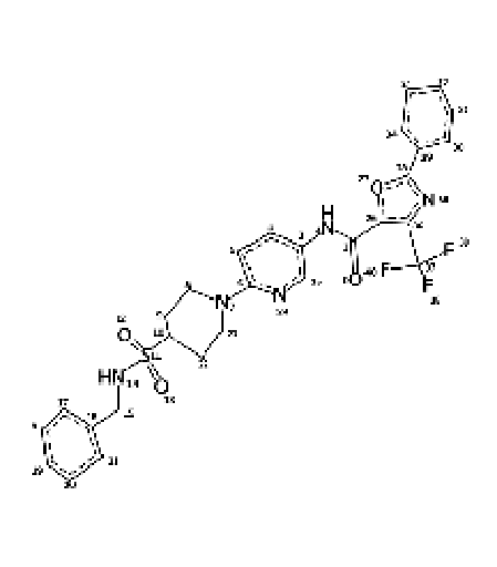 O=C(Nc1ccc(N2CCC(S(=O)(=O)NCc3ccccc3)CC2)nc1)c1oc(-c2ccccc2)nc1C(F)(F)F